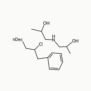 CC(O)CNCC(C)O.CCCCCCCCCCCC(Cl)Cc1ccccc1